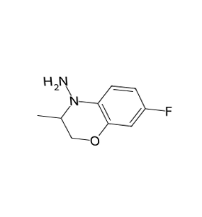 CC1COc2cc(F)ccc2N1N